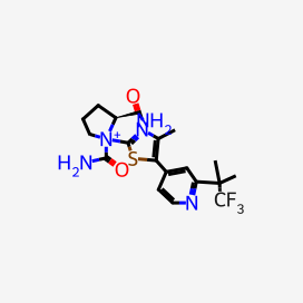 Cc1nc([N+]2(C(N)=O)CCC[C@H]2C(N)=O)sc1-c1ccnc(C(C)(C)C(F)(F)F)c1